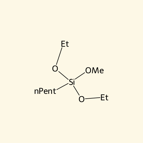 [CH2]CCCC[Si](OC)(OCC)OCC